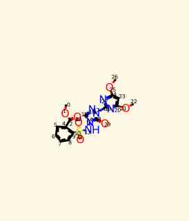 COC(=O)c1ccccc1S(=O)(=O)Nn1cnn(-c2nc(OC)cc(OC)n2)c1=O